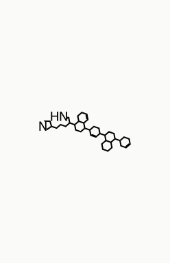 N=CC(CCCC1C=NCC1)C1CCC(C2C=CC(C3CCC(C4CC=CCC4)C4CCCCC34)CC2)C2C=CCCC21